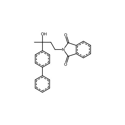 CC(O)(CCN1C(=O)c2ccccc2C1=O)c1ccc(-c2ccccc2)cc1